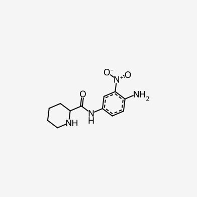 Nc1ccc(NC(=O)C2CCCCN2)cc1[N+](=O)[O-]